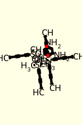 C#CC#CC#C[Si](C)(C)O[Si](O[Si](C)(C)C#CC#CC#C)(O[Si](C#CC#CC#C)(C#CC#CC#C)C#CC#CC#C)c1cc(N)cc(N)c1